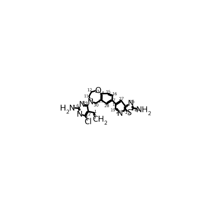 C=Cc1c(Cl)nc(N)nc1N1CCOc2ccc(-c3cnc4sc(N)nc4c3)cc2C1